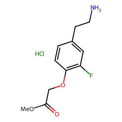 COC(=O)COc1ccc(CCN)cc1F.Cl